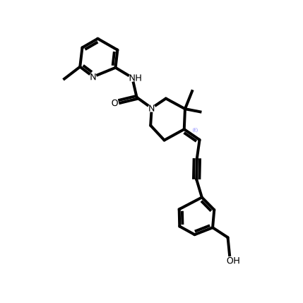 Cc1cccc(NC(=O)N2CC/C(=C\C#Cc3cccc(CO)c3)C(C)(C)C2)n1